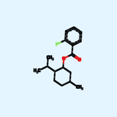 CC1CCC(C(C)C)C(OC(=O)c2ccccc2F)C1